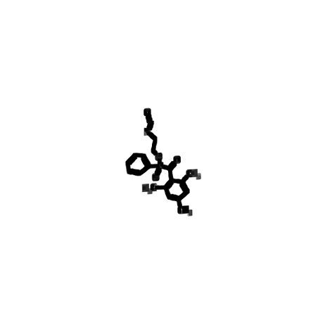 Cc1cc(C)c(C(=O)P(=O)(OCCN=C=O)c2ccccc2)c(C)c1